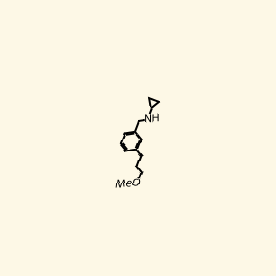 COCCCc1cccc(CNC2CC2)c1